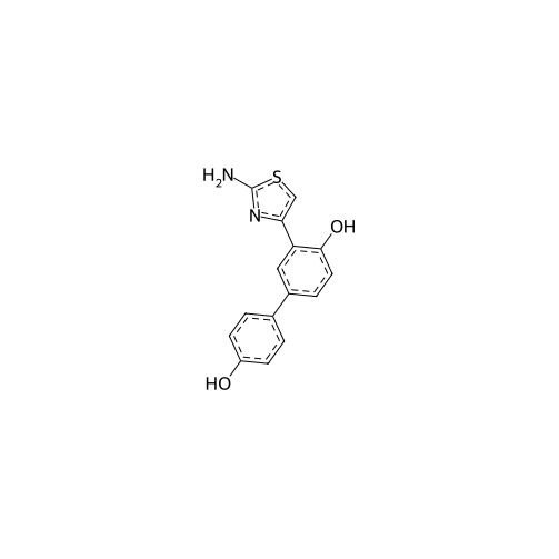 Nc1nc(-c2cc(-c3ccc(O)cc3)ccc2O)cs1